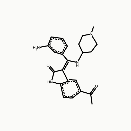 CC(=O)c1ccc2c(c1)C(=C(NC1CCN(C)CC1)c1cccc(N)c1)C(=O)N2